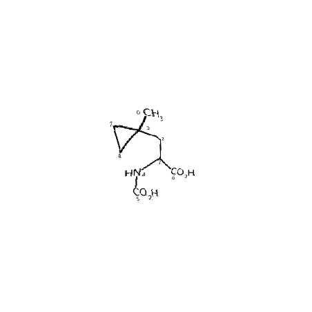 CC1(CC(NC(=O)O)C(=O)O)CC1